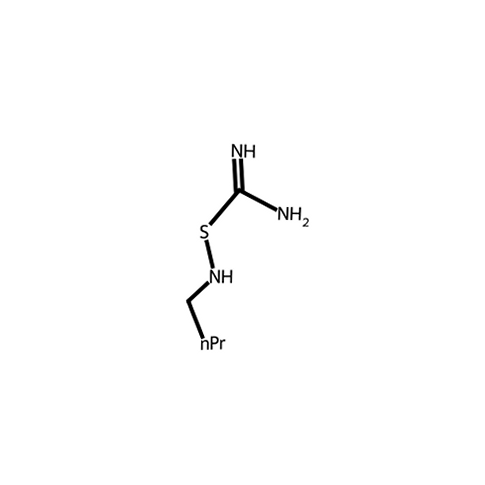 CCCCNSC(=N)N